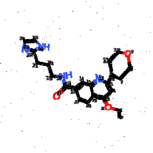 CCOc1cc(C2CCOCC2)nc2cc(C(=O)NCCCc3ncc[nH]3)ccc12